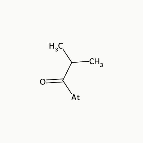 CC(C)C(=O)[At]